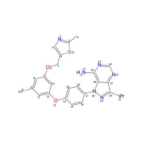 Cc1ncc(COc2cc(F)cc(Oc3ccc(-n4nc(C(C)C)c5ncnc(N)c54)cc3)c2)s1